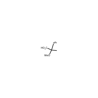 CCCC(C)(OC)C(=O)O